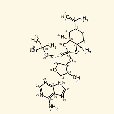 C=C(C)[C@@H]1CC[C@]2(C)S[P@@](=S)(O[C@H]3[C@@H](O)[C@H](n4cnc5c(N)ncnc54)O[C@@H]3CO[Si](C)(C)C(C)(C)C)O[C@H]2C1